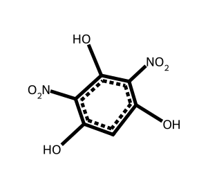 O=[N+]([O-])c1c(O)cc(O)c([N+](=O)[O-])c1O